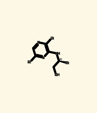 CCc1cnc(CC)c(N[C@@H](CC)CO)n1